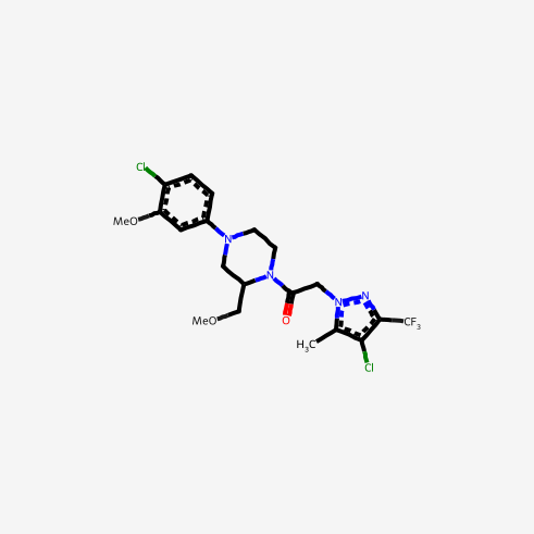 COCC1CN(c2ccc(Cl)c(OC)c2)CCN1C(=O)Cn1nc(C(F)(F)F)c(Cl)c1C